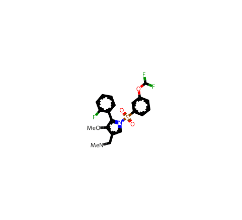 CNCc1cn(S(=O)(=O)c2cccc(OC(F)F)c2)c(-c2ccccc2F)c1OC